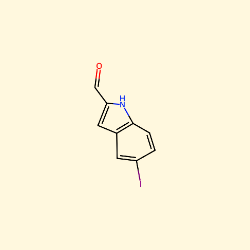 O=Cc1cc2cc(I)ccc2[nH]1